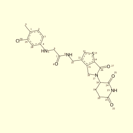 Cc1ccc(NCC(=O)NCc2csc3c2CN(C2CCC(=O)NC2=O)C3=O)cc1Cl